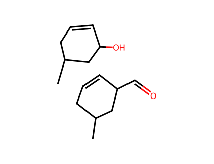 CC1CC=CC(C=O)C1.CC1CC=CC(O)C1